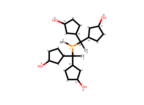 CCCP(C(CC)(C1CCC(O)C1)C1CCC(O)C1)C(CC)(C1CCC(O)C1)C1CCC(O)C1